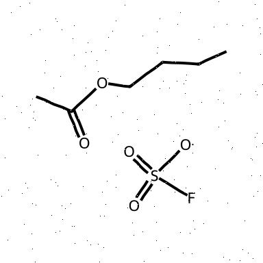 CCCCOC(C)=O.[O]S(=O)(=O)F